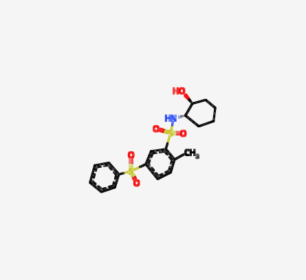 Cc1ccc(S(=O)(=O)c2ccccc2)cc1S(=O)(=O)N[C@H]1CCCC[C@@H]1O